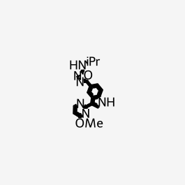 COc1ccnc(-c2c[nH]c3ccc(-c4nnc(NC(C)C)o4)cc23)n1